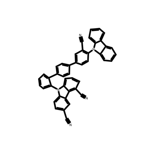 N#Cc1ccc2c(c1)c1c(C#N)cccc1n2-c1ccccc1-c1ccc(-c2ccc(-n3c4ccccc4c4ccccc43)c(C#N)c2)cc1